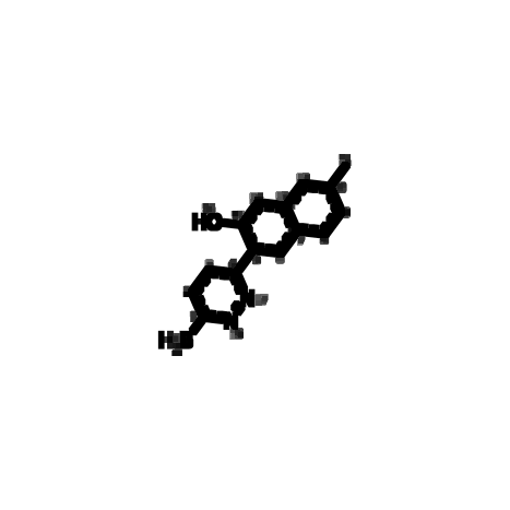 Bc1ccc(-c2cc3ccc(C)cc3cc2O)nn1